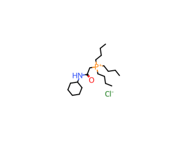 CCCC[P+](CCCC)(CCCC)CC(=O)NC1CCCCC1.[Cl-]